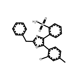 Cc1ccc(-c2oc(Cc3ccccc3)nc2-c2ccccc2S(N)(=O)=O)c(Cl)c1